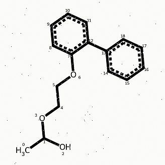 CC(O)OCCOc1ccccc1-c1ccccc1